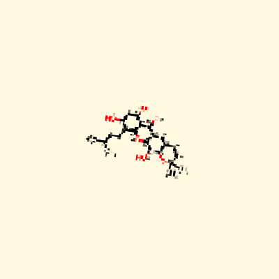 CC(C)=CCc1c(O)cc(O)c2c(=O)c3cc4c(c(O)c3oc12)OC(C)(C)C=C4